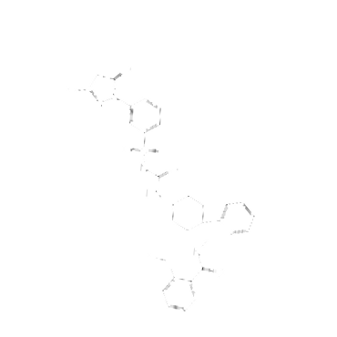 COc1ccccc1C(=O)NC[C@]1(c2ccccc2)CC[C@H](NC(=O)NS(=O)(=O)c2cccc(N3N=C(C)CC3=O)c2)CC1